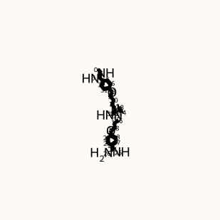 CNC(=N)c1ccc(OCCCn2ccn(CCCOc3ccc(C(=N)N)cc3)c2=N)cc1